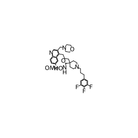 COc1ccc2ncc(CN3CCOCC3)c(CCCC3(C(=O)NO)CCN(CCCc4cc(F)c(F)c(F)c4)CC3)c2c1